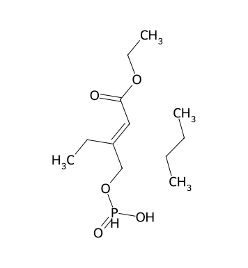 CCCC.CCOC(=O)/C=C(\CC)CO[PH](=O)O